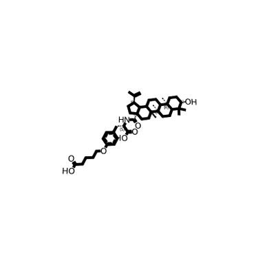 C=C(C)[C@@H]1CC[C@]2(C(=O)N[C@@H](Cc3ccc(OCCCCC(=O)O)cc3)C(=O)O)CC[C@]3(C)C(CCC4[C@@]5(C)CC[C@H](O)C(C)(C)C5CC[C@]43C)C12